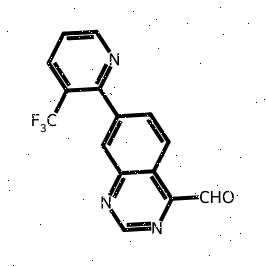 O=Cc1ncnc2cc(-c3ncccc3C(F)(F)F)ccc12